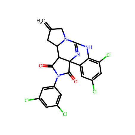 C=C1CC2C3C(=O)N(c4cc(Cl)cc(Cl)c4)C(=O)C34N=C(Nc3c(Cl)cc(Cl)cc34)N2C1